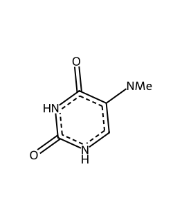 CNc1c[nH]c(=O)[nH]c1=O